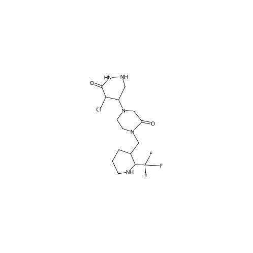 O=C1NNCC(N2CCN(CC3CCCNC3C(F)(F)F)C(=O)C2)C1Cl